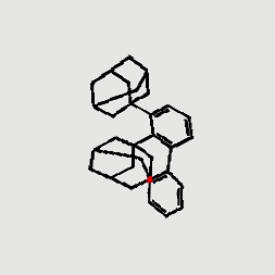 c1ccc(-c2cccc(C34CC5CC(CC(C5)C3)C4)c2C23CC4CC(CC(C4)C2)C3)cc1